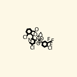 COCN(c1cc(Cl)cnc1C1OC(=O)c2cccc(Cl)c21)S(=O)(=O)c1ccc(Cl)c(C(F)(F)F)c1